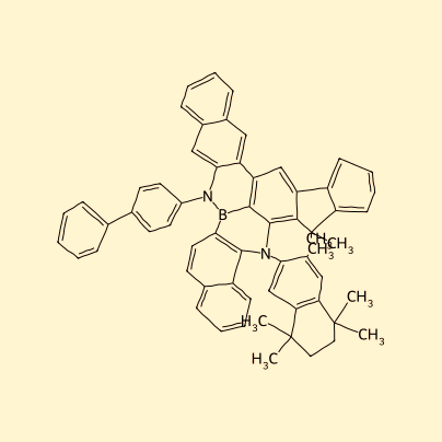 Cc1cc2c(cc1N1c3c4c(cc5c3C(C)(C)c3ccccc3-5)-c3cc5ccccc5cc3N(c3ccc(-c5ccccc5)cc3)B4c3ccc4ccccc4c31)C(C)(C)CCC2(C)C